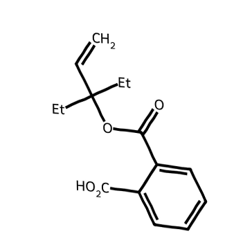 C=CC(CC)(CC)OC(=O)c1ccccc1C(=O)O